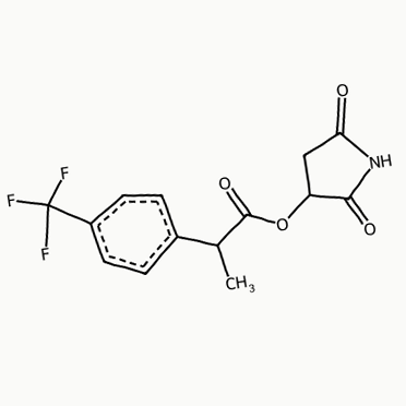 CC(C(=O)OC1CC(=O)NC1=O)c1ccc(C(F)(F)F)cc1